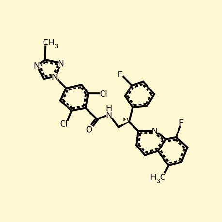 Cc1ncn(-c2cc(Cl)c(C(=O)NC[C@@H](c3cccc(F)c3)c3ccc4c(C)ccc(F)c4n3)c(Cl)c2)n1